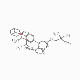 CC(C)CC(N)C(=O)N1C2CC1CN(c1ccc(-c3cc(OCC(C)(C)O)cn4ncc(C#N)c34)cn1)C2